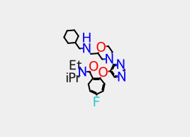 CCN(C(=O)C1=C(Oc2cncnc2N2CCOC(CNCC3CCCCC3)C2)C=CC(F)=CC1)C(C)C